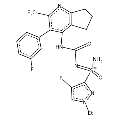 CCn1cc(F)c([S@](N)(=O)=NC(=O)Nc2c3c(nc(C(F)(F)F)c2-c2cccc(F)c2)CCC3)n1